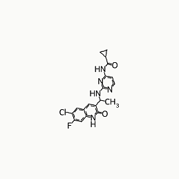 CC(Nc1nccc(NC(=O)C2CC2)n1)c1cc2cc(Cl)c(F)cc2[nH]c1=O